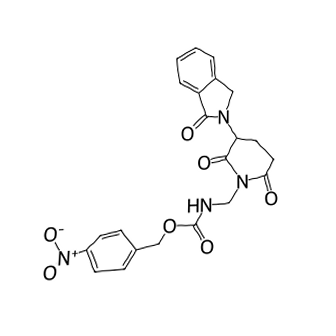 O=C(NCN1C(=O)CCC(N2Cc3ccccc3C2=O)C1=O)OCc1ccc([N+](=O)[O-])cc1